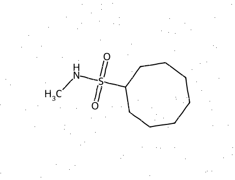 CNS(=O)(=O)C1CCCCCCC1